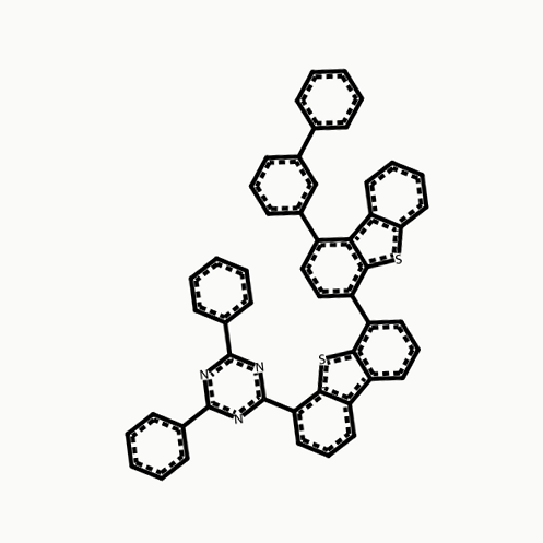 c1ccc(-c2cccc(-c3ccc(-c4cccc5c4sc4c(-c6nc(-c7ccccc7)nc(-c7ccccc7)n6)cccc45)c4sc5ccccc5c34)c2)cc1